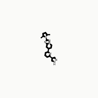 Cc1ccc(C)n1-c1nc2cc(-c3cccc(-c4cn[nH]c4)n3)ccn2n1